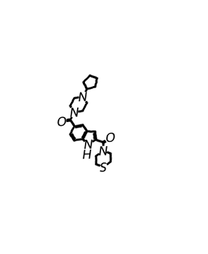 O=C(c1ccc2[nH]c(C(=O)N3CCSCC3)cc2c1)N1CCN(C2CCCC2)CC1